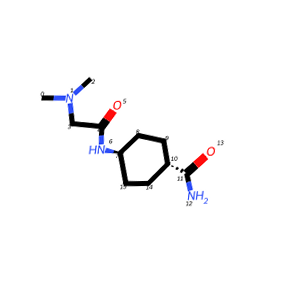 CN(C)CC(=O)N[C@H]1CC[C@H](C(N)=O)CC1